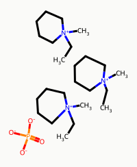 CC[N+]1(C)CCCCC1.CC[N+]1(C)CCCCC1.CC[N+]1(C)CCCCC1.O=P([O-])([O-])[O-]